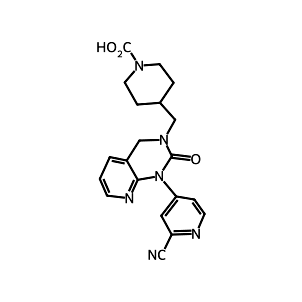 N#Cc1cc(N2C(=O)N(CC3CCN(C(=O)O)CC3)Cc3cccnc32)ccn1